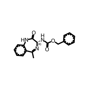 CC1=N[C@@H](NC(=O)OCc2ccccc2)C(=O)Nc2ccccc21